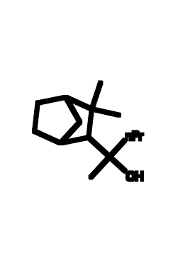 CCCC(C)(O)C1C2CCC(C2)C1(C)C